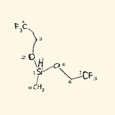 C[SiH](OCC(F)(F)F)OCC(F)(F)F